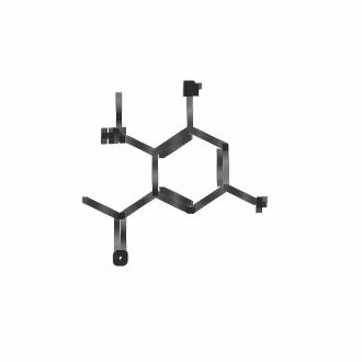 CNc1c(Br)cc(F)cc1C(C)=O